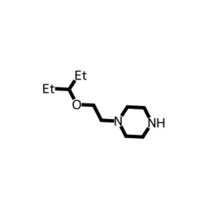 CCC(CC)OCCN1CCNCC1